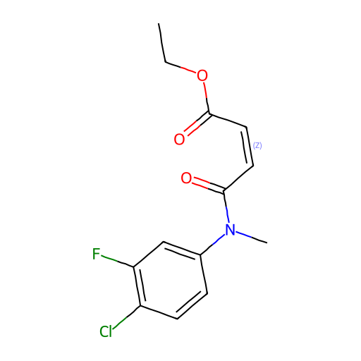 CCOC(=O)/C=C\C(=O)N(C)c1ccc(Cl)c(F)c1